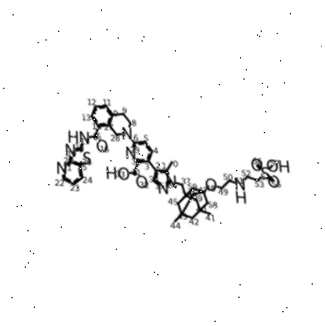 Cc1c(-c2ccc(N3CCc4cccc(C(=O)Nc5nc6ncccc6s5)c4C3)nc2C(=O)O)cnn1CC12CC3(C)CC(C)(C1)CC(OCCNCCS(=O)(=O)O)(C3)C2